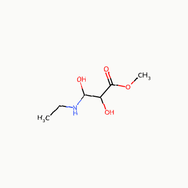 CCNC(O)C(O)C(=O)OC